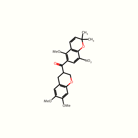 COc1cc2c(cc1OC)OCC(C(=O)c1cc([N+](=O)[O-])c3c(c1OC)C=CC(C)(C)O3)C2